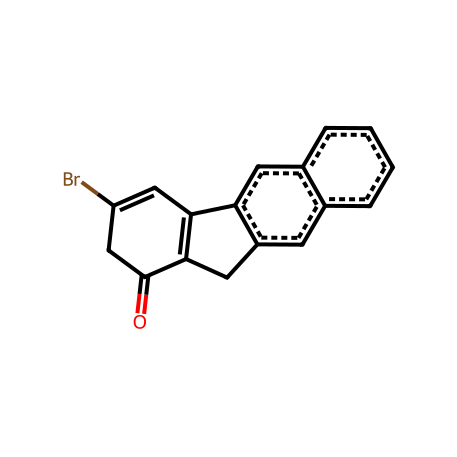 O=C1CC(Br)=CC2=C1Cc1cc3ccccc3cc12